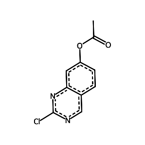 CC(=O)Oc1ccc2cnc(Cl)nc2c1